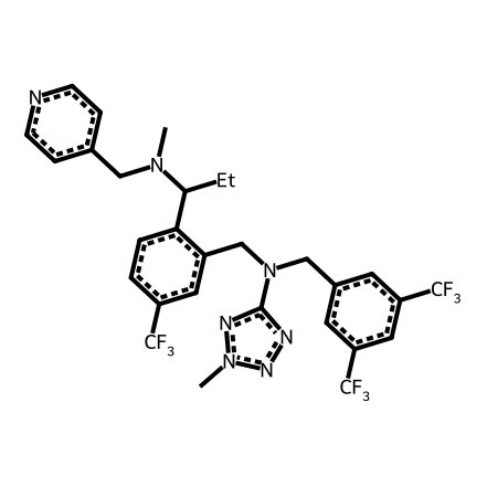 CCC(c1ccc(C(F)(F)F)cc1CN(Cc1cc(C(F)(F)F)cc(C(F)(F)F)c1)c1nnn(C)n1)N(C)Cc1ccncc1